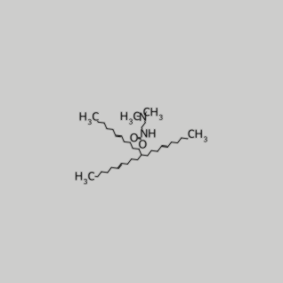 CCCCCC=CCCCC(CCCC=CCCCCC)C(CCCC=CCCCCC)OC(=O)NCCN(C)C